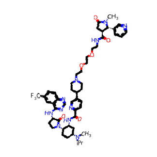 CC(C)N(C)[C@@H]1CC[C@H](N2CC[C@H](Nc3ncnc4ccc(C(F)(F)F)cc34)C2=O)[C@H](NC(=O)c2ccc(C3CCN(CCOCCOCCNC(=O)[C@H]4CC(=O)N(C)[C@@H]4c4cccnc4)CC3)cn2)C1